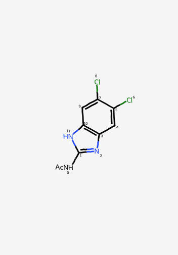 CC(=O)Nc1nc2cc(Cl)c(Cl)cc2[nH]1